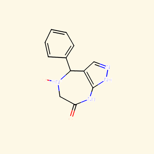 O=C1C[NH+]([O-])C(c2ccccc2)c2cn[nH]c2N1